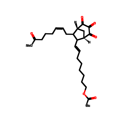 COC(=O)CCC/C=C\CC1C(C=CCCCCCCOC(=O)C(C)(C)C)[C@H]2C[C@H]1C(=O)C(=O)C2=O